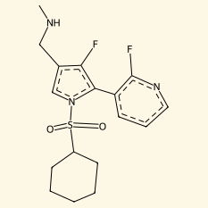 CNCc1cn(S(=O)(=O)C2CCCCC2)c(-c2cccnc2F)c1F